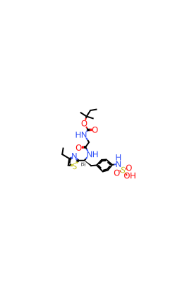 CCc1csc([C@H](Cc2ccc(NS(=O)(=O)O)cc2)NC(=O)CNC(=O)OC(C)(C)CC)n1